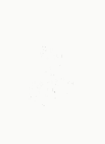 Cc1ccccc1S(=O)(=O)[O-].Cc1ccccc1S(=O)(=O)[O-].Cc1ccccc1S(=O)(=O)[O-].[Fe+3]